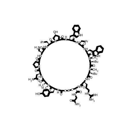 CCCC[C@H]1C(=O)N(C)[C@@H](CCCC)C(=O)N[C@@H](CCCNC(=N)N)C(=O)N[C@H](C(=O)NCC(N)=O)CSCC(=O)N[C@@H](Cc2ccc(O)cc2)C(=O)N(C)[C@@H](C)C(=O)N[C@@H](CC(N)=O)C(=O)N2CCC[C@H]2C(=O)N[C@@H](CN)C(=O)N[C@@H](CC(C)C)C(=O)N2C[C@H](O)C[C@H]2C(=O)N[C@@H](Cc2c[nH]c3ccccc23)C(=O)N[C@@H](CC(C)C)C(=O)N[C@@H](Cc2c[nH]c3ccccc23)C(=O)N1C